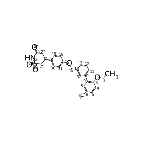 CCOc1ccc(F)cc1-c1cccc(COc2ccc(C3CC(=O)NS(=O)(=O)C3)cc2)c1